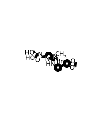 Cn1nc(Nc2cccc(-c3ccc4c(c3)OCCO4)c2Br)c2nc(C=N[C@@H](CO)C(=O)O)ccc21